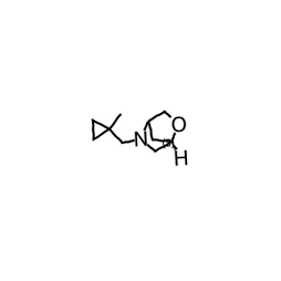 CC1(CN2C[C@@H]3CC2CO3)CC1